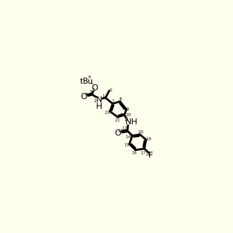 CC(NC(=O)OC(C)(C)C)c1ccc(NC(=O)c2ccc(F)cc2)cc1